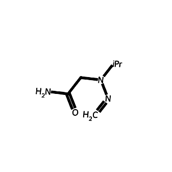 C=NN(CC(N)=O)C(C)C